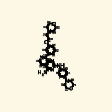 Nc1nc(Nc2ccc(N3CCOCC3)cc2)nc2c(-c3cccc(OCCN4CCOCC4)c3)nccc12